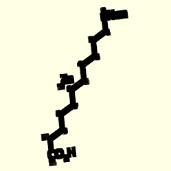 CCCCCCCCCCCCCCCCCCCC(=O)O.[Zn]